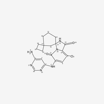 Nc1cc(Nc2cc(Cl)c3n(c2=O)C2(CCCC4(CCC4)C2)NC3=O)ncn1